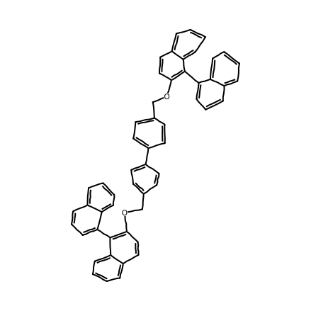 c1ccc2c(-c3c(OCc4ccc(-c5ccc(COc6ccc7ccccc7c6-c6cccc7ccccc67)cc5)cc4)ccc4ccccc34)cccc2c1